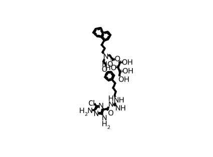 N=C(NCCCCc1ccc(OCCN(CCCc2cccc3ccccc23)C[C@H](O)O[C@@H](O)[C@H](O)[C@H](O)CO)cc1)NC(=O)c1nc(Cl)c(N)nc1N